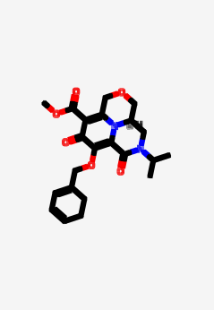 COC(=O)c1c2n3c(c(OCC4=CC=CCC4)c1=O)C(=O)N(C(C)C)C[C@@H]3COC2